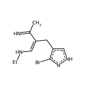 CCN/C=C(/Cc1c[nH]nc1Br)C(C)=N